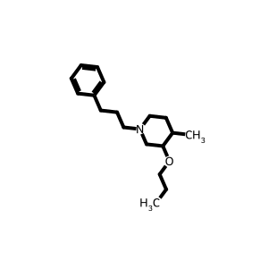 CCCOC1CN(CCCc2ccccc2)CCC1C